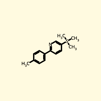 Cc1ccc(-c2ccc(S(C)(C)C)cn2)cc1